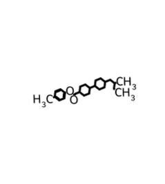 CCC(C)CC1CCC(C2CCC(C(=O)Oc3ccc(C)cc3)CC2)CC1